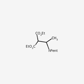 CCCCCC(C)C(C(=O)OCC)C(=O)OCC